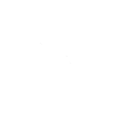 O=C(NC1CCc2ccn3c2C1C(=O)CC(C(=O)O)C3)OCc1ccccc1